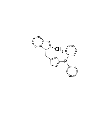 CC1=Cc2ccccc2C1CC1=CC(P(c2ccccc2)c2ccccc2)=CC1